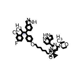 CC/C(=C(/c1ccc(OCCCCCCS(=N)(=O)C2(c3cc(N4CCOC[C@H]4C)nc(-c4ccnc5[nH]ccc45)n3)CC2)cc1)c1ccc2[nH]ncc2c1)c1ccc(F)cc1Cl